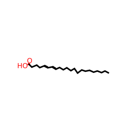 CCCCCCCCCCCCCC/C=C/C=C/CCCC(=O)O